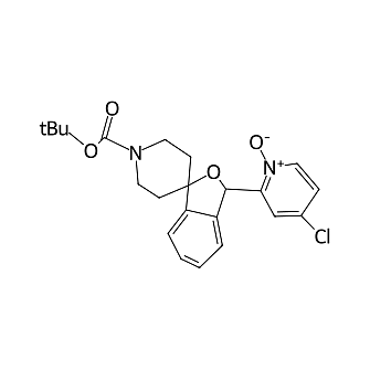 CC(C)(C)OC(=O)N1CCC2(CC1)OC(c1cc(Cl)cc[n+]1[O-])c1ccccc12